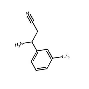 Cc1cccc(C(N)CC#N)c1